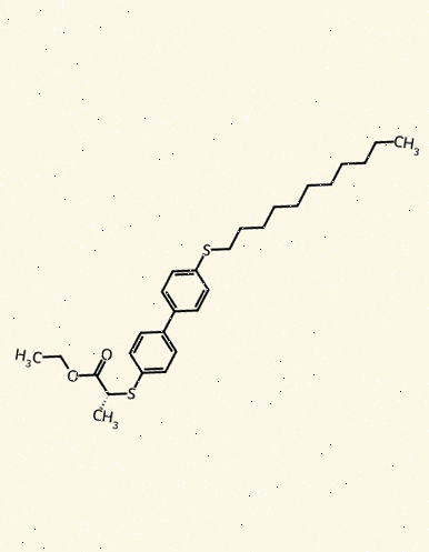 CCCCCCCCCCCSc1ccc(-c2ccc(S[C@H](C)C(=O)OCC)cc2)cc1